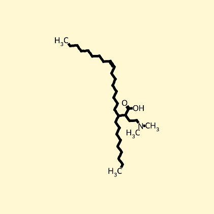 CCCCCCCC/C=C\CCCCCCCC(CCCCCCCCC)C(CCN(C)C)C(=O)O